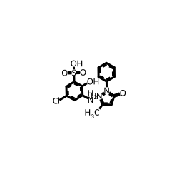 Cc1cc(=O)n(-c2ccccc2)[nH]1.Nc1cc(Cl)cc(S(=O)(=O)O)c1O